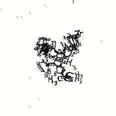 CC(C)(C)C1=CC2=C(C1)C(C1CCCCC1)CC2(C)C1c2ccc(C34CC5CC(CC(C5)C3)C4)cc2-c2cc(C34CC5CC(CC(C5)C3)C4)ccc21.[Zr]